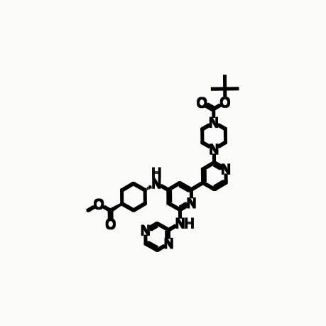 COC(=O)[C@H]1CC[C@H](Nc2cc(Nc3cnccn3)nc(-c3ccnc(N4CCN(C(=O)OC(C)(C)C)CC4)c3)c2)CC1